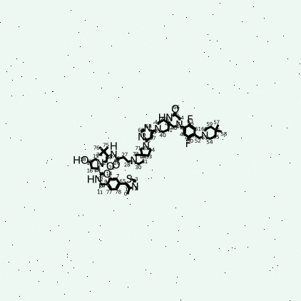 Cc1ncsc1-c1ccc([C@H](C)NC(=O)[C@@H]2C[C@@H](O)CN2C(=O)[C@@H](NC(=O)CCN2CC[C@]3(CCN(c4cc(N5CCC6(CC5)CN(c5cc(F)c(CN7CCC(C)(C)CC7)cc5F)CC(=O)N6)ncn4)C3)C2)C(C)(C)C)cc1